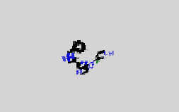 FC1(CNc2nc(-c3cnn(Cc4ccccc4)c3)cc3ncccc23)CCCNC1